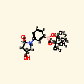 CC1(C)OB(c2cccc(N3C[C@@H](O)CC3=O)c2)OC1(C)C